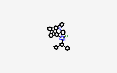 Clc1nc(-c2cc(-c3ccccc3)cc(-c3ccccc3)c2)nc(-c2ccc3c4c2-c2ccccc2-n2c5ccccc5c5ccc(c-4c52)C32c3ccccc3-c3ccccc32)n1